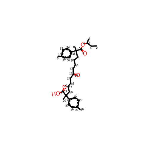 CCC(C)OC(=O)C(C)(CCCCC(=O)CCCCC(C)(C(=O)O)c1ccc(C)cc1)c1ccc(C)cc1